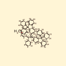 C=C/C=C\C=C(/c1ccccc1)N(c1ccc2c(c1)C(C1=CC=CCC1)(c1ccccc1)c1ccccc1-2)c1ccc2c(c1)C(c1ccccc1)(c1ccccc1)c1ccccc1-2